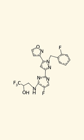 OC(CNc1nc(-c2cc(-c3ccon3)n(Cc3ccccc3F)n2)ncc1F)C(F)(F)F